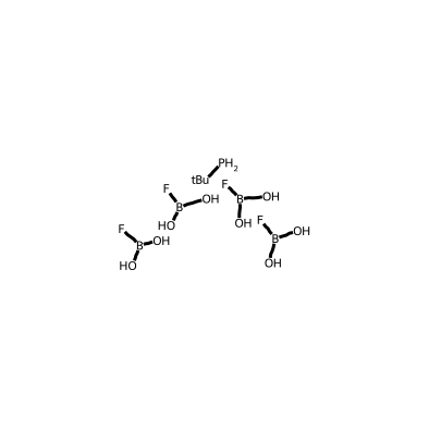 CC(C)(C)P.OB(O)F.OB(O)F.OB(O)F.OB(O)F